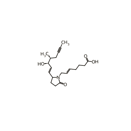 CC#CC[C@H](C)[C@H](O)C=CC1CCC(=O)N1CC=CCCCC(=O)O